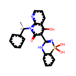 C[C@@H](c1ccccc1)n1c(=O)c(C2=NS(O)(O)c3ccccc3N2)c(O)c2cccnc21